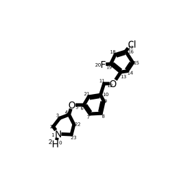 [2H]N1CCC(Oc2cccc(COc3ccc(Cl)cc3F)c2)CC1